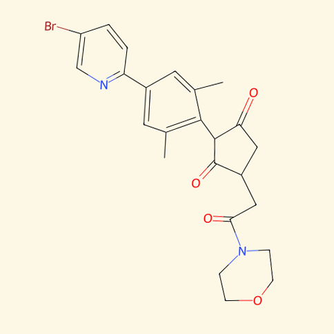 Cc1cc(-c2ccc(Br)cn2)cc(C)c1C1C(=O)CC(CC(=O)N2CCOCC2)C1=O